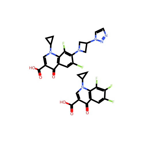 O=C(O)c1cn(C2CC2)c2c(F)c(F)c(F)cc2c1=O.O=C(O)c1cn(C2CC2)c2c(F)c(N3CC(n4ccnn4)C3)c(F)cc2c1=O